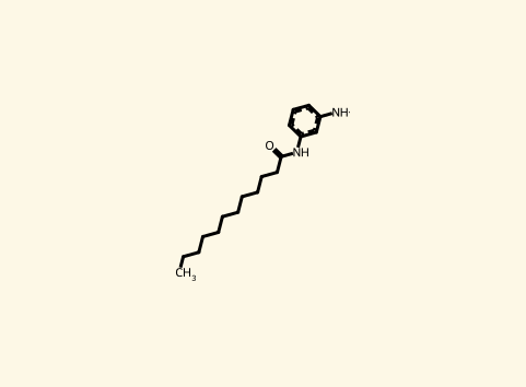 CCCCCCCCCCCC(=O)Nc1cccc([NH])c1